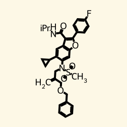 C=C(COCc1ccccc1)CN(c1cc2oc(-c3ccc(F)cc3)c(C(=O)NC(C)C)c2cc1C1CC1)S(C)(=O)=O